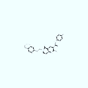 COCc1ccc(CCn2ccc3nc(C)c(C(=O)Nc4ccc(F)cc4)cc3c2=O)cc1